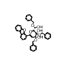 OC(OCc1ccccc1)[C@H]1OC(c2cccc3c2oc2ccccc23)=C[C@](O)(OCc2ccccc2)[C@@]1(O)OCc1ccccc1